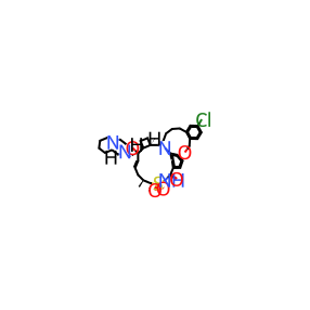 CO[C@]1(CN2CCN3CCCC[C@@H]3C2)/C=C/C[C@H](C)[C@@H](C)S(=O)(=O)NC(=O)c2ccc3c(c2)N(CCCCc2cc(Cl)ccc2CO3)C[C@@H]2CC[C@H]21